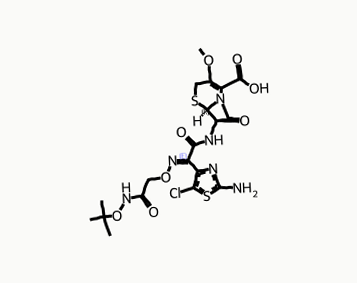 COC1=C(C(=O)O)N2C(=O)C(NC(=O)/C(=N/OCC(=O)NOC(C)(C)C)c3nc(N)sc3Cl)[C@H]2SC1